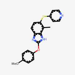 COc1ccc(Oc2nc3ccc(Sc4ccncc4)c(C)c3[nH]2)cc1